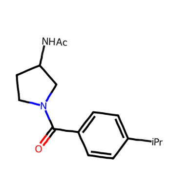 CC(=O)NC1CCN(C(=O)c2ccc(C(C)C)cc2)C1